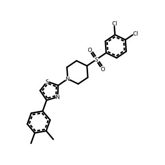 Cc1ccc(-c2csc(N3CCC(S(=O)(=O)c4ccc(Cl)c(Cl)c4)CC3)n2)cc1C